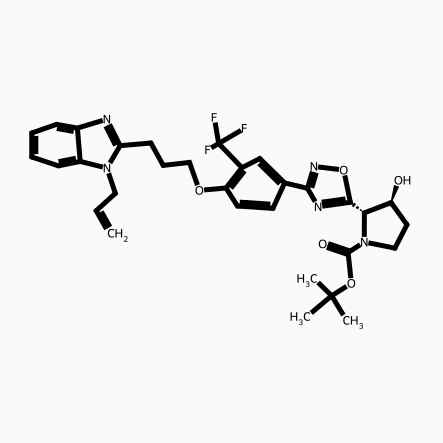 C=CCn1c(CCCOc2ccc(-c3noc([C@@H]4[C@@H](O)CCN4C(=O)OC(C)(C)C)n3)cc2C(F)(F)F)nc2ccccc21